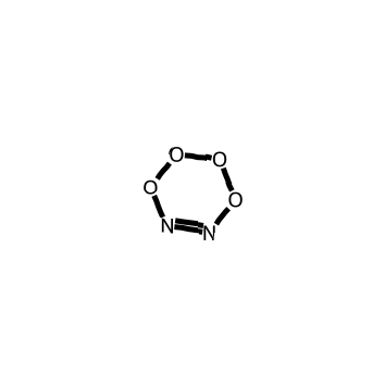 n1noooo1